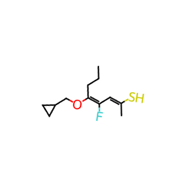 CCC/C(OCC1CC1)=C(F)\C=C(/C)S